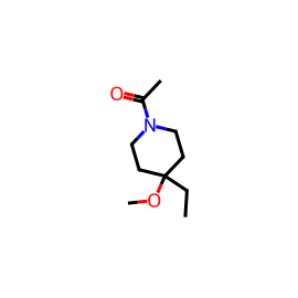 CCC1(OC)CCN(C(C)=O)CC1